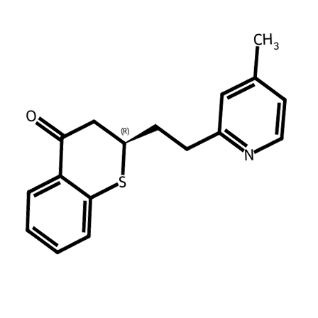 Cc1ccnc(CC[C@@H]2CC(=O)c3ccccc3S2)c1